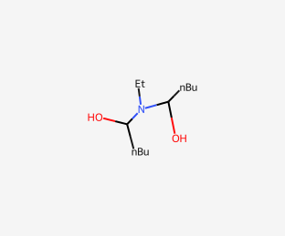 CCCCC(O)N(CC)C(O)CCCC